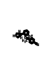 CC1(c2ccc(C#N)cc2F)Oc2cccc(C3[C@H]4CNC[C@@H]34)c2O1